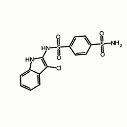 NS(=O)(=O)c1ccc(S(=O)(=O)Nc2[nH]c3ccccc3c2Cl)cc1